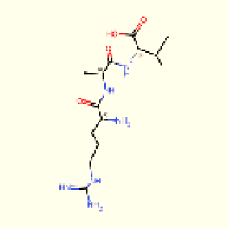 CC(C)[C@H](NC(=O)[C@H](C)NC(=O)[C@@H](N)CCCNC(=N)N)C(=O)O